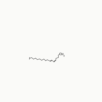 CCCC/C=C\C=C\CCCCCCCCCI